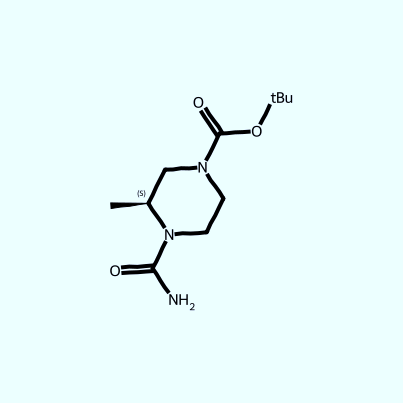 C[C@H]1CN(C(=O)OC(C)(C)C)CCN1C(N)=O